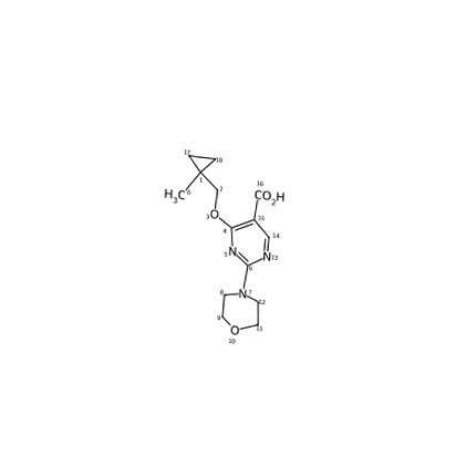 CC1(COc2nc(N3CCOCC3)ncc2C(=O)O)CC1